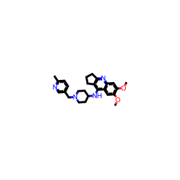 COc1cc2nc3c(c(NC4CCN(Cc5ccc(C)nc5)CC4)c2cc1OC)CCC3